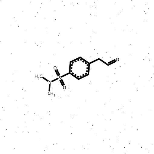 CN(C)S(=O)(=O)c1ccc(CC=O)cc1